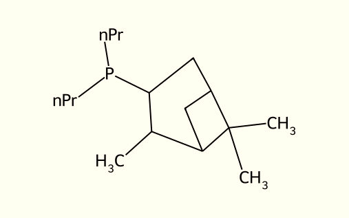 CCCP(CCC)C1CC2CC(C1C)C2(C)C